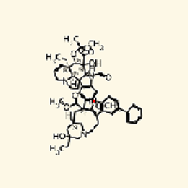 CCC1(O)C[C@H]2CN(CCc3c([nH]c4ccc(-c5ccccc5)cc34)[C@@](C(=O)OC)(c3cc4c(cc3OC)N(C=O)[C@H]3[C@@](O)(C(=O)OC)[C@H](OC(C)=O)[C@]5(CC)C=CCN6CC[C@]43[C@@H]65)C2)C1